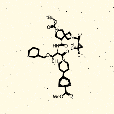 COC(=O)c1ccc(C2CCN(C(=O)[C@@H](NC(=O)[C@@H]3CN(C(=O)OC(C)(C)C)CC34CN(C(=O)[C@H]3CC3(C)C)C4)[C@@H](C)OCC3CCCCC3)CC2)cc1